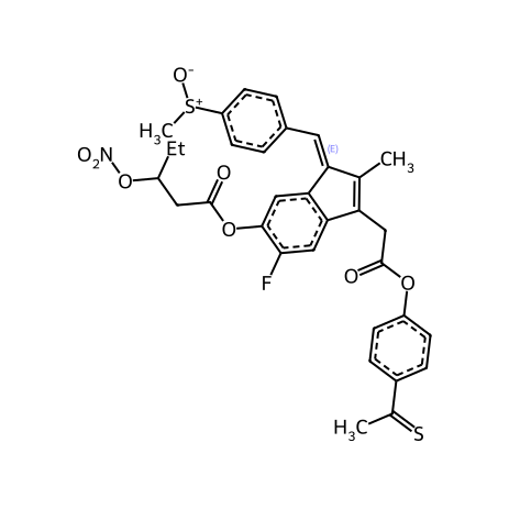 CCC(CC(=O)Oc1cc2c(cc1F)C(CC(=O)Oc1ccc(C(C)=S)cc1)=C(C)/C2=C/c1ccc([S+](C)[O-])cc1)O[N+](=O)[O-]